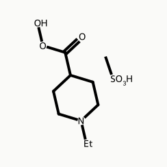 CCN1CCC(C(=O)OO)CC1.CS(=O)(=O)O